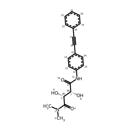 CN(C)C(=O)[C@H](O)[C@@H](O)C(=O)Nc1ccc(C#Cc2ccccc2)cc1